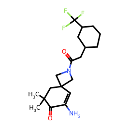 CC1(C)CC2(C=C(N)C1=O)CN(C(=O)CC1CCCC(C(F)(F)F)C1)C2